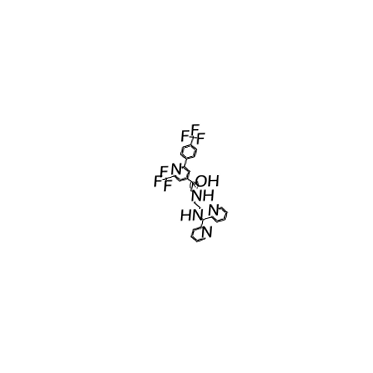 O[C@@H](CNCCNC(c1ccccn1)c1ccccn1)c1cc(-c2ccc(C(F)(F)F)cc2)nc(C(F)(F)F)c1